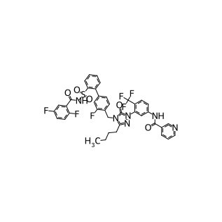 CCCCc1nn(-c2cc(NC(=O)c3cccnc3)ccc2C(F)(F)F)c(=O)n1Cc1ccc(-c2ccccc2S(=O)(=O)NC(=O)c2cc(F)ccc2F)cc1F